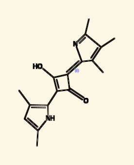 CC1=N/C(=C2/C(=O)C(c3[nH]c(C)cc3C)=C2O)C(C)=C1C